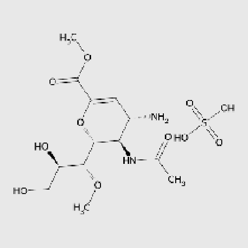 COC(=O)C1=C[C@H](N)[C@@H](NC(C)=O)[C@H]([C@H](OC)[C@H](O)CO)O1.O=S(=O)(O)O